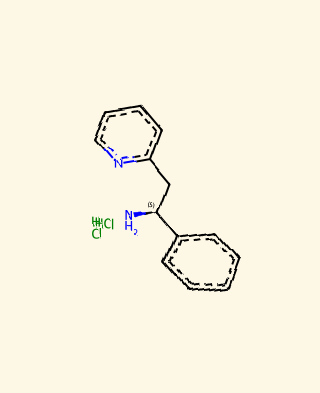 Cl.Cl.N[C@@H](Cc1ccccn1)c1ccccc1